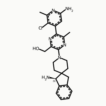 Cc1nc(N2CCC3(CC2)Cc2ccccc2[C@H]3N)c(CO)nc1-c1cc(N)nc(C)c1Cl